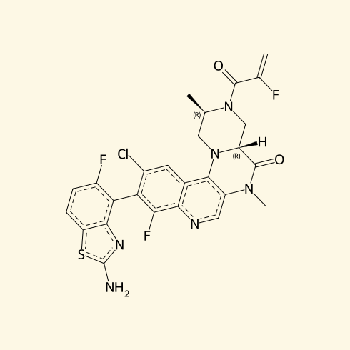 C=C(F)C(=O)N1C[C@@H]2C(=O)N(C)c3cnc4c(F)c(-c5c(F)ccc6sc(N)nc56)c(Cl)cc4c3N2C[C@H]1C